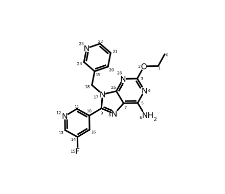 CCOc1nc(N)c2nc(-c3cncc(F)c3)n(Cc3cccnc3)c2n1